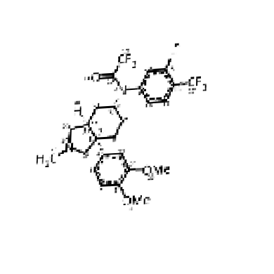 COc1ccc([C@@]23CC[C@@H](N(C(=O)C(F)(F)F)c4ccc(C(F)(F)F)c(F)c4)C[C@@H]2CN(C)C3)cc1OC